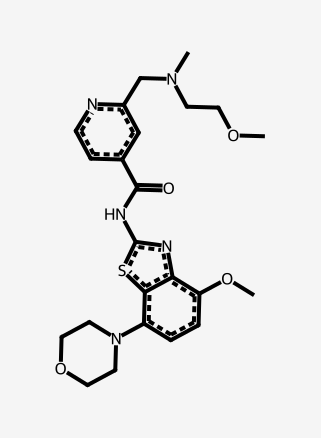 COCCN(C)Cc1cc(C(=O)Nc2nc3c(OC)ccc(N4CCOCC4)c3s2)ccn1